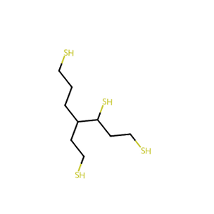 SCCCC(CCS)C(S)CCS